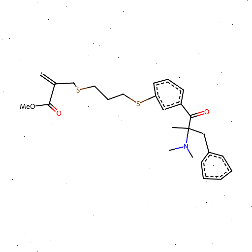 C=C(CSCCCSc1cccc(C(=O)C(C)(Cc2ccccc2)N(C)C)c1)C(=O)OC